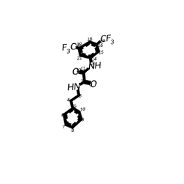 O=C(NCCc1ccccc1)C(=O)Nc1cc(C(F)(F)F)cc(C(F)(F)F)c1